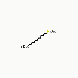 CCCCCCCCCCCCCCCCCCCCCCSCCCCCCCCCC